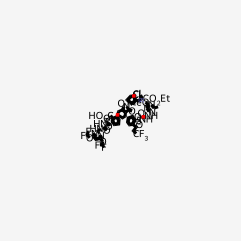 CCOC(=O)/C(Cl)=C/c1cc(N2C(=O)C3=C(CCCC3)C2=O)ccc1Cl.COc1nc(C)nc(NC(=O)NS(=O)(=O)c2ccccc2CCC(F)(F)F)n1.O=C(Nc1nc(OC(F)F)cc(OC(F)F)n1)NS(=O)(=O)c1ccccc1C(=O)O